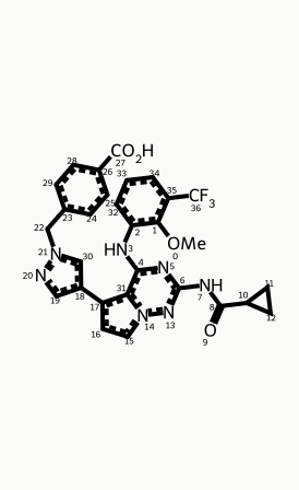 COc1c(Nc2nc(NC(=O)C3CC3)nn3ccc(-c4cnn(Cc5ccc(C(=O)O)cc5)c4)c23)cccc1C(F)(F)F